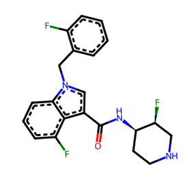 O=C(N[C@@H]1CCNC[C@@H]1F)c1cn(Cc2ccccc2F)c2cccc(F)c12